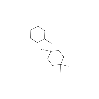 [CH2]C1(CC2CCCCC2)CCC(C)(C)CC1